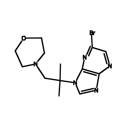 CC(C)(CN1CCOCC1)n1cnc2ncc(Br)nc21